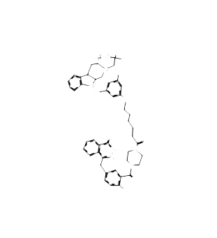 C[C@@H]1CC2c3ccccc3NC2[C@@H](c2c(F)cc(OCCCCCC(=O)N3CCN(C(=O)c4cc(Cc5n[nH]c(=O)c6ccccc56)ccc4F)CC3)cc2F)N1CC(C)(C)F